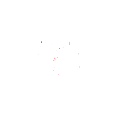 C[C@@H]1C(=O)OC2[C@H](O)C34C5OC(=O)[C@]3(O[C@@H]3OC(=O)CC34[C@H](C(C)(C)C)[C@H]5O)[C@]21O